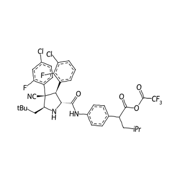 CC(C)CC(C(=O)OC(=O)C(F)(F)F)c1ccc(NC(=O)[C@@H]2N[C@@H](CC(C)(C)C)[C@](C#N)(c3ccc(Cl)cc3F)[C@H]2c2cccc(Cl)c2F)cc1